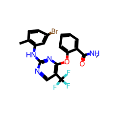 CNC(=O)c1ccccc1Oc1nc(Nc2cc(Br)ccc2C)ncc1C(F)(F)F